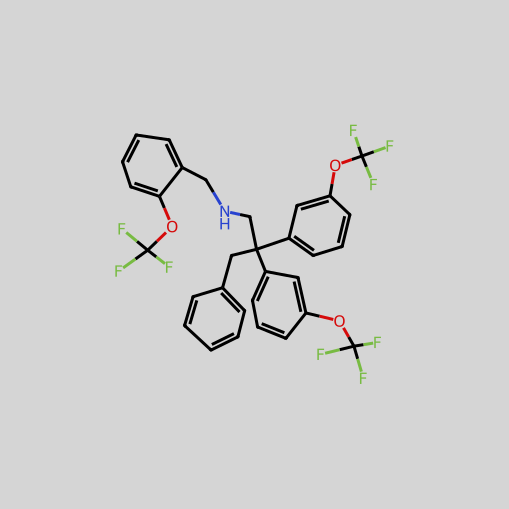 FC(F)(F)Oc1cccc(C(CNCc2ccccc2OC(F)(F)F)(Cc2ccccc2)c2cccc(OC(F)(F)F)c2)c1